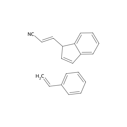 C=Cc1ccccc1.N#CC=CC1C=Cc2ccccc21